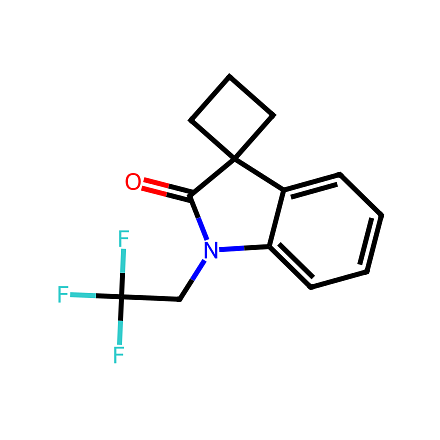 O=C1N(CC(F)(F)F)c2ccccc2C12CCC2